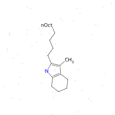 CCCCCCCCCCCCC1=C(C)C2=C(CCCC2)[N]1